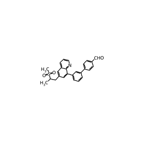 CC(Cc1cc(-c2cccc(-c3ccc(C=O)cc3)c2)c2ncccc2c1)S(C)(=O)=O